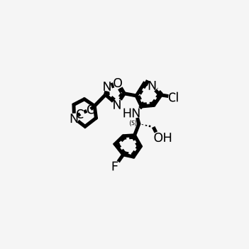 OC[C@@H](Nc1cc(Cl)ncc1-c1nc(C23CCN(CC2)CC3)no1)c1ccc(F)cc1